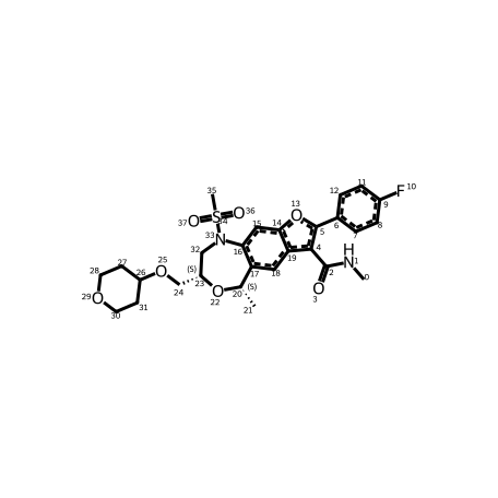 CNC(=O)c1c(-c2ccc(F)cc2)oc2cc3c(cc12)[C@H](C)O[C@H](COC1CCOCC1)CN3S(C)(=O)=O